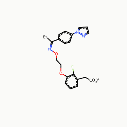 CCC(=NOCCOc1cccc(CC(=O)O)c1F)c1ccc(-n2cccn2)cc1